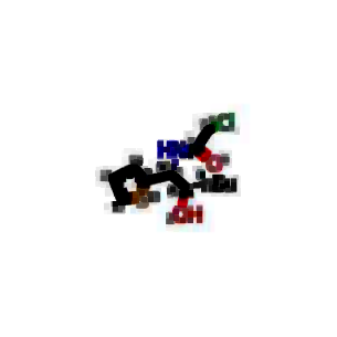 CCCC[C@H](O)[C@@H](NC(=O)CCl)c1cccs1